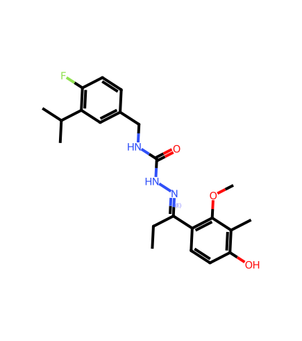 CC/C(=N\NC(=O)NCc1ccc(F)c(C(C)C)c1)c1ccc(O)c(C)c1OC